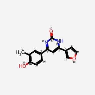 Cc1cc(-c2cc(-c3ccoc3)[nH]c(=O)n2)ccc1O